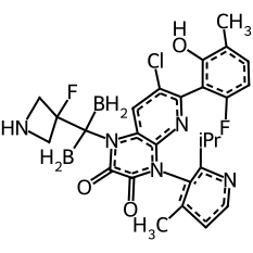 BC(B)(n1c(=O)c(=O)n(-c2c(C)ccnc2C(C)C)c2nc(-c3c(F)ccc(C)c3O)c(Cl)cc21)C1(F)CNC1